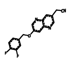 N#CCc1cnc2cc(OCc3ccc(F)c(F)c3)cnc2c1